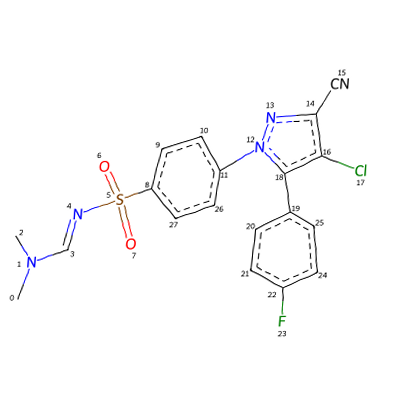 CN(C)C=NS(=O)(=O)c1ccc(-n2nc(C#N)c(Cl)c2-c2ccc(F)cc2)cc1